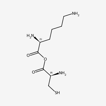 NCCCC[C@H](N)C(=O)OC(=O)[C@@H](N)CS